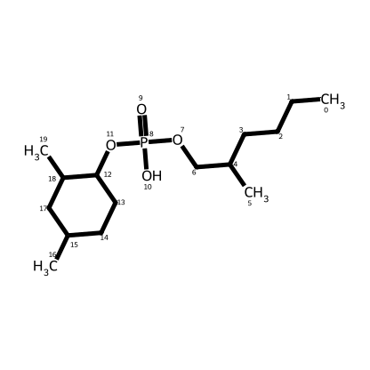 CCCCC(C)COP(=O)(O)OC1CCC(C)CC1C